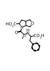 C[C@H](NC(Cc1ccccc1)C(=O)O)C(=O)N1C(C(=O)O)CC2COCC21